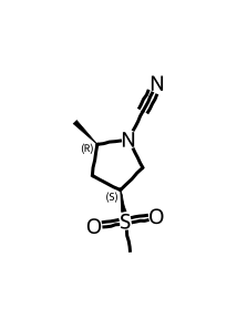 C[C@@H]1C[C@H](S(C)(=O)=O)CN1C#N